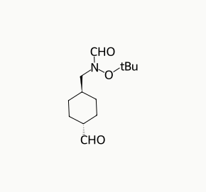 CC(C)(C)ON(C=O)C[C@H]1CC[C@H](C=O)CC1